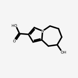 O=C(O)c1cc2n(c1)CCCC(O)C2